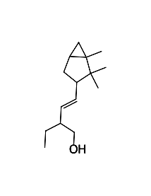 CCC(C=CC1CC2CC2(C)C1(C)C)CO